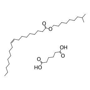 CCCCCCCC/C=C\CCCCCCCC(=O)OCCCCCCCC(C)C.O=C(O)CCCCC(=O)O